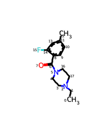 CCN1CCN(C(=O)c2ccc(C)cc2F)CC1